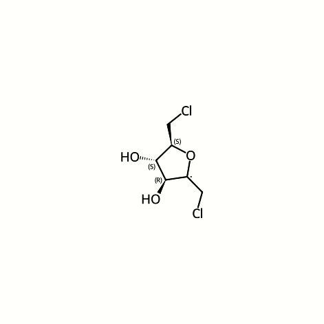 O[C@H]1[C@H](O)[C](CCl)O[C@@H]1CCl